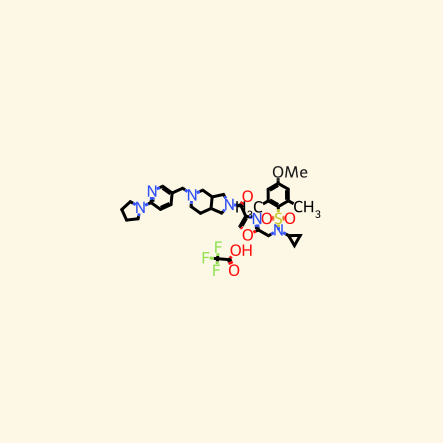 COc1cc(C)c(S(=O)(=O)N(Cc2nc(C(=O)N3CC4CCN(Cc5ccc(N6CCCC6)nc5)CC4C3)co2)C2CC2)c(C)c1.O=C(O)C(F)(F)F